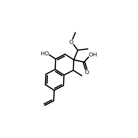 C=Cc1ccc2c(c1)C(C)C(C(=O)O)(C(C)OC)C=C2O